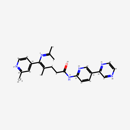 CC(C)=N/C(=C(/C)CCC(=O)Nc1ccc(-c2cnccn2)cn1)c1ccnc(C(F)(F)F)c1